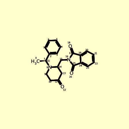 C[C@@H](c1ccccc1)N1CCC(=O)CC1CN1C(=O)c2ccccc2C1=O